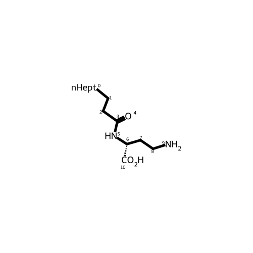 CCCCCCCCCC(=O)N[C@H](CCN)C(=O)O